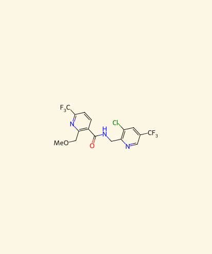 COCc1nc(C(F)(F)F)ccc1C(=O)NCc1ncc(C(F)(F)F)cc1Cl